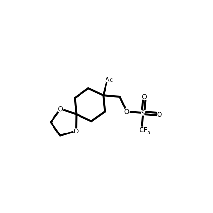 CC(=O)C1(COS(=O)(=O)C(F)(F)F)CCC2(CC1)OCCO2